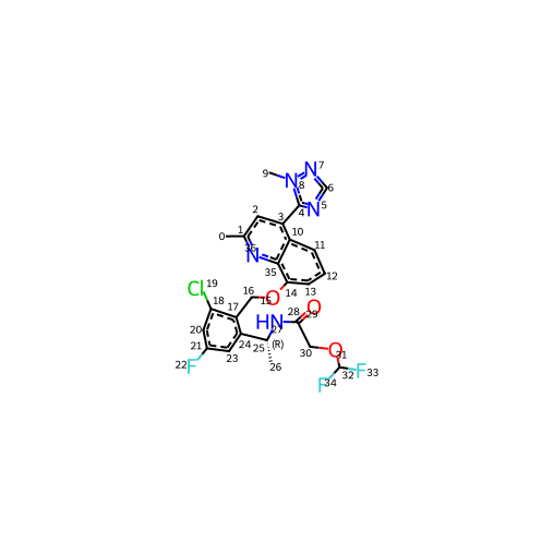 Cc1cc(-c2ncnn2C)c2cccc(OCc3c(Cl)cc(F)cc3[C@@H](C)NC(=O)COC(F)F)c2n1